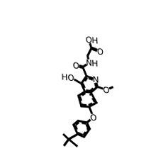 COc1nc(C(=O)NCC(=O)O)c(O)c2ccc(Oc3ccc(C(C)(C)C)cc3)cc12